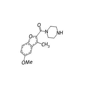 COc1ccc2oc(C(=O)N3CCNCC3)c(C)c2c1